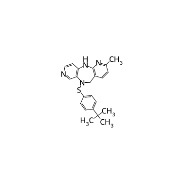 Cc1ccc2c(n1)Nc1ccncc1N(Sc1ccc(C(C)(C)C)cc1)C2